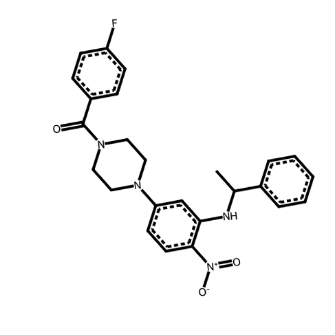 CC(Nc1cc(N2CCN(C(=O)c3ccc(F)cc3)CC2)ccc1[N+](=O)[O-])c1ccccc1